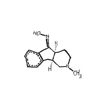 CN1CC[C@@H]2/C(=N/O)c3ccccc3[C@@H]2C1